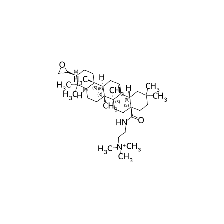 CC1(C)CC[C@]2(C(=O)NCC[N+](C)(C)C)CC[C@]3(C)C(=CC[C@@H]4[C@@]5(C)CC[C@H](C6CO6)C(C)(C)[C@@H]5CC[C@]43C)[C@@H]2C1